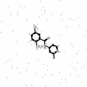 Cc1cc(NC(=O)c2cc(C(F)(F)F)ccc2C(=O)O)ccn1